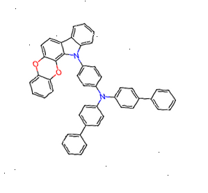 c1ccc(-c2ccc(N(c3ccc(-c4ccccc4)cc3)c3ccc(-n4c5ccccc5c5ccc6c(c54)Oc4ccccc4O6)cc3)cc2)cc1